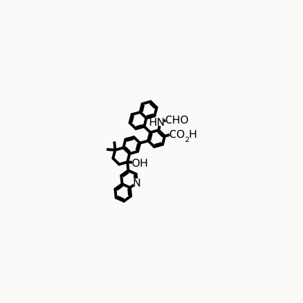 CC1(C)CCC(O)(c2cnc3ccccc3c2)c2cc(-c3ccc(C(=O)O)c(NC=O)c3-c3cccc4ccccc34)ccc21